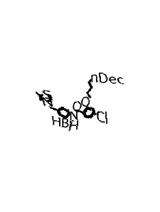 Br.CCCCCCCCCCCCCCOc1cc(Cl)ccc1C(=O)Nc1ccc(CN2C=C(C)SC2)cc1